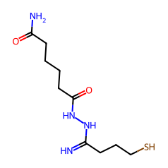 N=C(CCCS)NNC(=O)CCCCC(N)=O